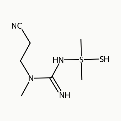 CN(CCC#N)C(=N)NS(C)(C)S